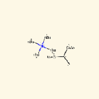 CCCC[N+](CCCC)(CCCC)CCCC.COC(C)OC